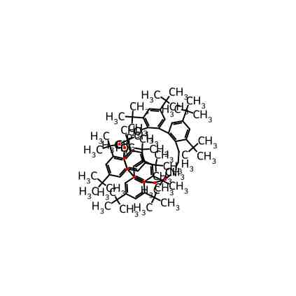 CC(C)(C)c1cc2c(c(C(C)(C)C)c1)CCN1CCc3c(cc(C(C)(C)C)cc3C(C)(C)C)-c3cc(C(C)(C)C)cc(C(C)(C)C)c3OP(Oc3c-2cc(C(C)(C)C)cc3C(C)(C)C)Oc2c(cc(C(C)(C)C)cc2C(C)(C)C)-c2cc(C(C)(C)C)cc(C(C)(C)C)c2CC1